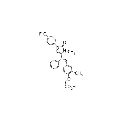 Cc1cc(SC(c2ccccc2)c2nn(-c3ccc(C(F)(F)F)cc3)c(=O)n2C)ccc1OCC(=O)O